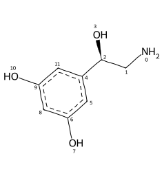 NC[C@H](O)c1cc(O)cc(O)c1